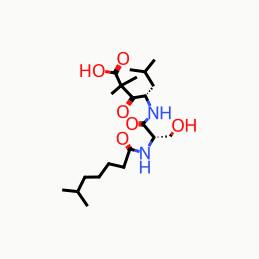 CC(C)CCCCC(=O)N[C@@H](CO)C(=O)N[C@@H](CC(C)C)C(=O)C(C)(C)C(=O)O